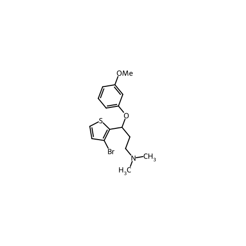 COc1cccc(OC(CCN(C)C)c2sccc2Br)c1